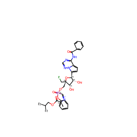 CCC(CC)COC(=O)[C@H](C)/N=C\[P@](=O)(OC[C@@]1(CF)O[C@@H](c2ccc3c(NC(=O)c4ccccc4)ncnn23)[C@H](O)[C@@H]1O)Oc1ccccc1